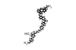 NCc1cnc(N2CCN(C(=O)CCOCCN3CCN(c4ncc(C(=O)N5CCc6cc(Cn7nc(-c8ccc9oc(N)nc9c8)c8c(N)ncnc87)ccc6C5)cn4)CC3)[C@@H](C(=O)O)C2)nc1